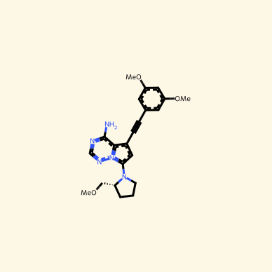 COC[C@H]1CCCN1c1cc(C#Cc2cc(OC)cc(OC)c2)c2c(N)ncnn12